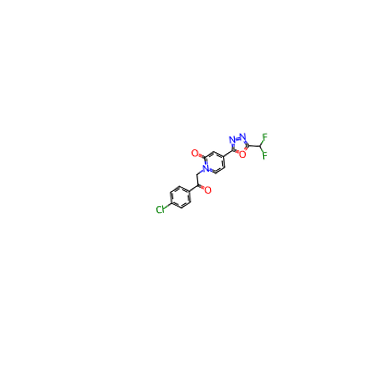 O=C(Cn1ccc(-c2nnc(C(F)F)o2)cc1=O)c1ccc(Cl)cc1